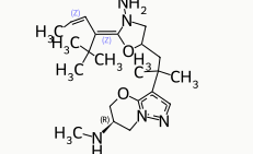 C/C=C\C(=C1\OC(CC(C)(C)c2cnn3c2OC[C@H](NC)C3)CN1N)C(C)(C)C